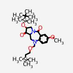 COc1ccc2c(c1)C(=O)N1CC(O[Si](C)(C)C(C)(C)C)C(=O)C1CN2COCC[Si](C)(C)C